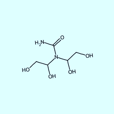 NC(=O)N(C(O)CO)C(O)CO